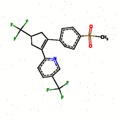 CS(=O)(=O)c1ccc(C2=C(c3ccc(C(F)(F)F)cn3)CC(C(F)(F)F)C2)cc1